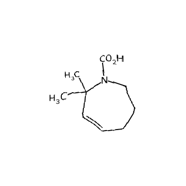 CC1(C)C=CCCCN1C(=O)O